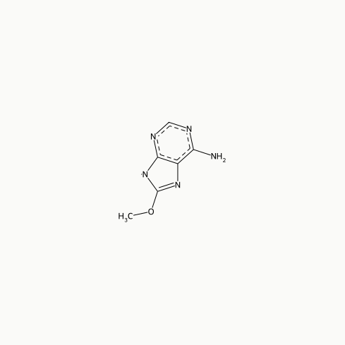 COC1=Nc2c(N)ncnc2[N]1